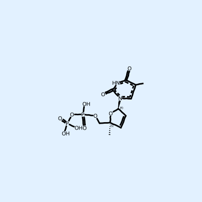 Cc1cn([C@H]2C=C[C@@](C)(COP(=O)(O)OP(=O)(O)O)O2)c(=O)[nH]c1=O